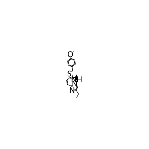 CCc1c[nH]c(/C=C\C(=N)SCc2ccc(OC)cc2)n1